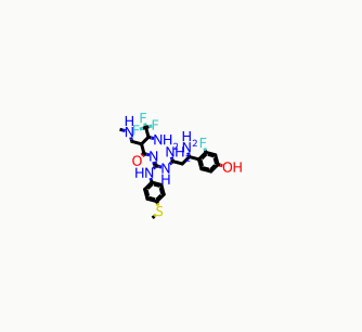 CNCC(C(=O)/N=C(\Nc1ccc(SC)cc1)NC(N)CC(N)c1ccc(O)cc1F)C(N)C(F)(F)F